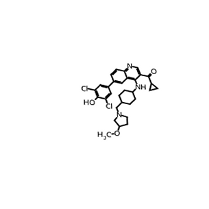 COC1CCN(CC2CCC(Nc3c(C(=O)C4CC4)cnc4ccc(-c5cc(Cl)c(O)c(Cl)c5)cc34)CC2)C1